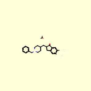 CC(O)C(=O)O.COc1cc2c(cc1OC)C(=O)C(CC1CCN(Cc3ccccc3)CC1)C2